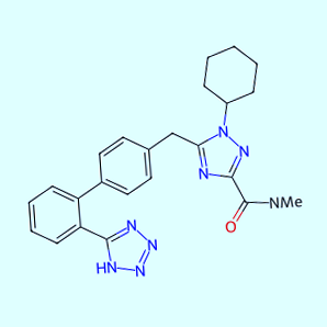 CNC(=O)c1nc(Cc2ccc(-c3ccccc3-c3nnn[nH]3)cc2)n(C2CCCCC2)n1